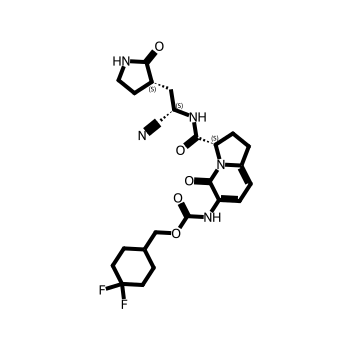 N#C[C@H](C[C@@H]1CCNC1=O)NC(=O)[C@@H]1CCc2ccc(NC(=O)OCC3CCC(F)(F)CC3)c(=O)n21